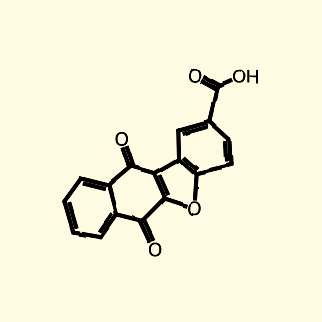 O=C(O)c1ccc2oc3c(c2c1)C(=O)c1ccccc1C3=O